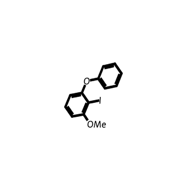 COc1cccc(Oc2ccccc2)c1I